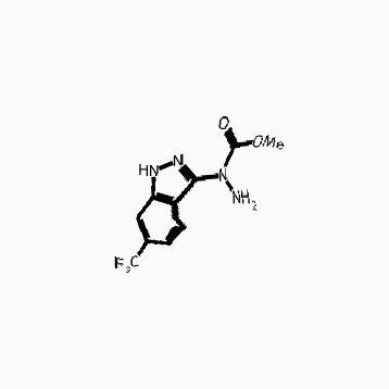 COC(=O)N(N)c1n[nH]c2cc(C(F)(F)F)ccc12